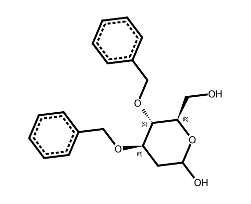 OC[C@H]1OC(O)C[C@@H](OCc2ccccc2)[C@@H]1OCc1ccccc1